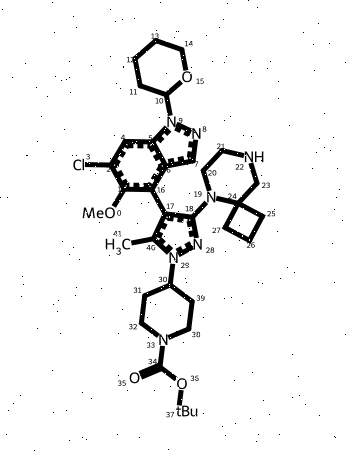 COc1c(Cl)cc2c(cnn2C2CCCCO2)c1-c1c(N2CCNCC23CCC3)nn(C2CCN(C(=O)OC(C)(C)C)CC2)c1C